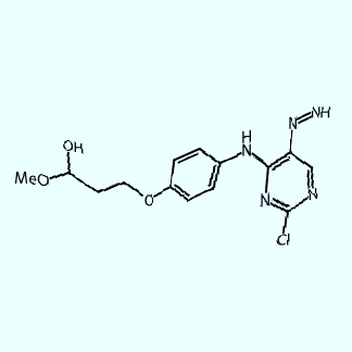 COC(O)CCOc1ccc(Nc2nc(Cl)ncc2N=N)cc1